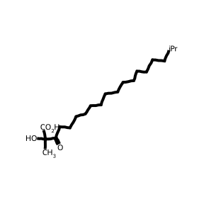 CC(C)CCCCCCCCCCCCCCC(=O)C(C)(O)C(=O)O